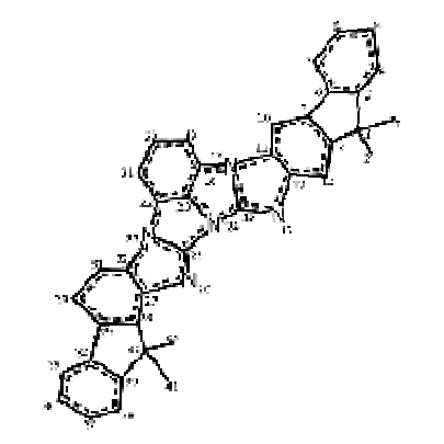 CC1(C)c2ccccc2-c2cc3c(cc21)nc1n3c2cccc3c2n1c1nc2c4c(ccc2n31)-c1ccccc1C4(C)C